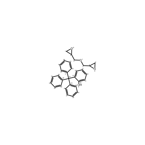 C(OCC1CO1)C1CO1.Oc1ccccc1C(c1ccccc1)(c1ccccc1)c1ccccc1